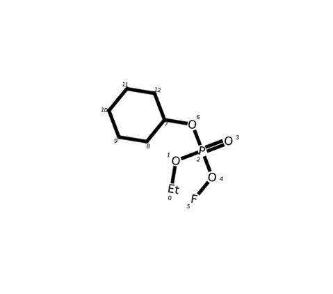 CCOP(=O)(OF)OC1CCCCC1